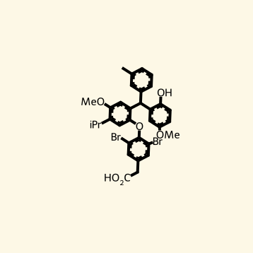 COc1ccc(O)c(C(c2cccc(C)c2)c2cc(OC)c(C(C)C)cc2Oc2c(Br)cc(CC(=O)O)cc2Br)c1